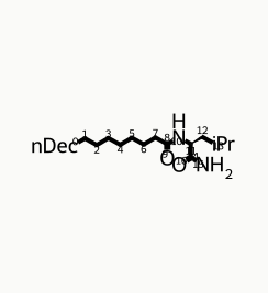 CCCCCCCCCCCCCCCCCC(=O)N[C@@H](CC(C)C)C(N)=O